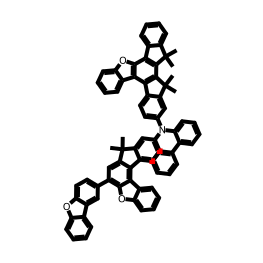 CC1(C)c2cc(N(c3ccc4c(c3)C(C)(C)c3c5c(c6oc7ccccc7c6c3-4)-c3ccccc3C5(C)C)c3ccccc3-c3ccccc3)ccc2-c2c1cc(-c1ccc3oc4ccccc4c3c1)c1oc3ccccc3c21